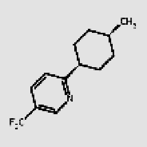 C[C@H]1CC[C@@H](c2ccc(C(F)(F)F)cn2)CC1